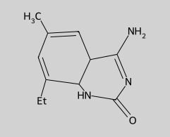 CCC1=CC(C)=CC2C(N)=NC(=O)NC12